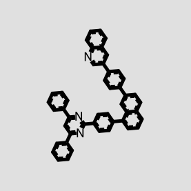 c1ccc(-c2cc(-c3ccccc3)nc(-c3ccc(-c4cccc5ccc(-c6ccc(-c7cnc8ccccc8c7)cc6)cc45)cc3)n2)cc1